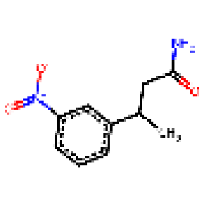 CC(CC(N)=O)c1cccc([N+](=O)[O-])c1